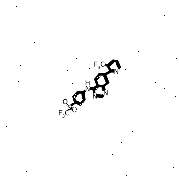 O=S(=O)(c1ccc(Nc2ncnc3cc(-c4ncccc4C(F)(F)F)ccc23)cc1)C(F)(F)F